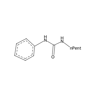 CCCCCNC(=O)Nc1ccccc1